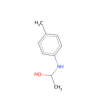 Cc1ccc(NC(C)O)cc1